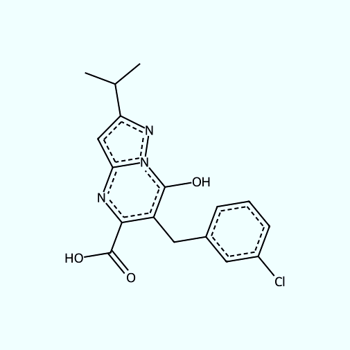 CC(C)c1cc2nc(C(=O)O)c(Cc3cccc(Cl)c3)c(O)n2n1